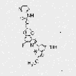 COc1cnc2c(-c3nc4c(F)cc5c(c4s3)OCC(COC(=O)Nc3cccnc3)O5)cc(CO)cc2n1